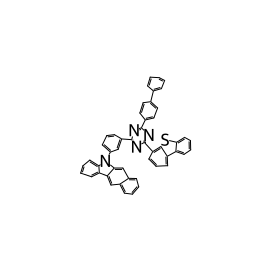 c1ccc(-c2ccc(-c3nc(-c4cccc(-n5c6ccccc6c6cc7ccccc7cc65)c4)nc(-c4cccc5c4sc4ccccc45)n3)cc2)cc1